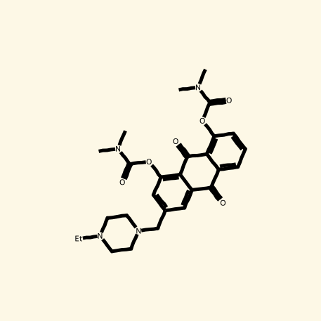 CCN1CCN(Cc2cc(OC(=O)N(C)C)c3c(c2)C(=O)c2cccc(OC(=O)N(C)C)c2C3=O)CC1